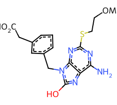 COCCSc1nc(N)c2nc(O)n(Cc3cccc(CC(=O)O)c3)c2n1